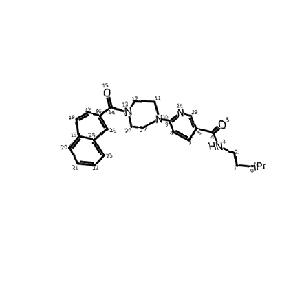 CC(C)CCNC(=O)c1ccc(N2CCN(C(=O)c3ccc4ccccc4c3)CC2)nc1